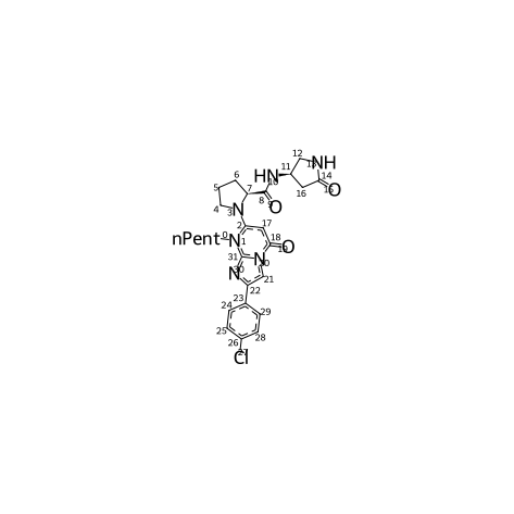 CCCCCn1c(N2CCC[C@H]2C(=O)N[C@H]2CNC(=O)C2)cc(=O)n2cc(-c3ccc(Cl)cc3)nc12